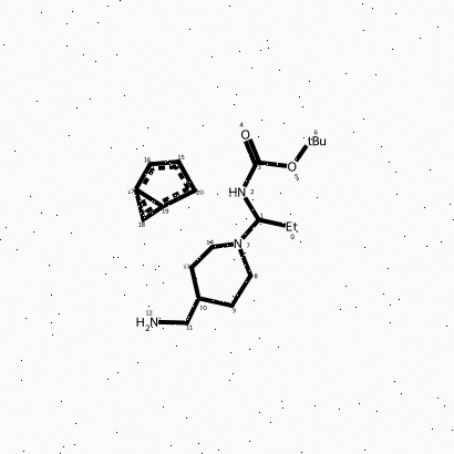 CCC(NC(=O)OC(C)(C)C)N1CCC(CN)CC1.c1cc2cc-2c1